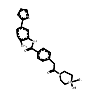 CC[PH]1(O)CCN(C(=O)Cc2ccc(C(=O)Nc3cc(-c4cccs4)ccc3N)cc2)CC1